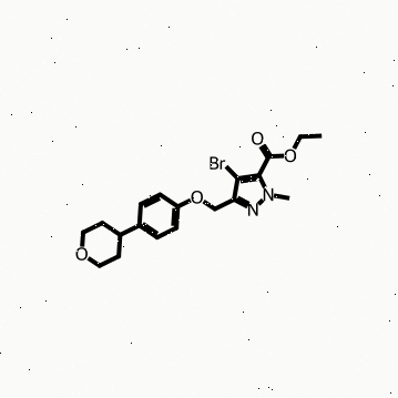 CCOC(=O)c1c(Br)c(COc2ccc(C3CCOCC3)cc2)nn1C